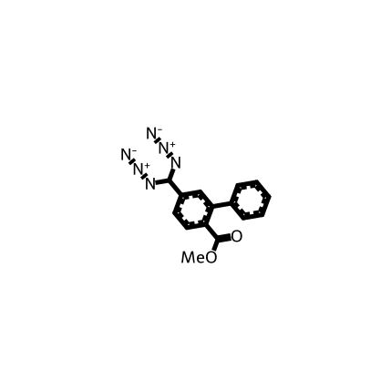 COC(=O)c1ccc(C(N=[N+]=[N-])N=[N+]=[N-])cc1-c1ccccc1